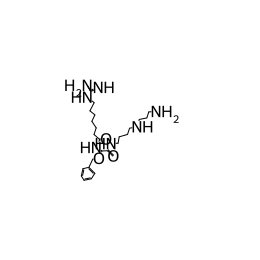 N=C(N)NCCCCCCC(=O)NC(OCc1ccccc1)C(=O)NCCCCNCCCN